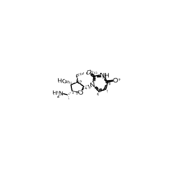 NC[C@H]1O[C@@H](n2ccc(=O)[nH]c2=O)C(F)[C@H]1O